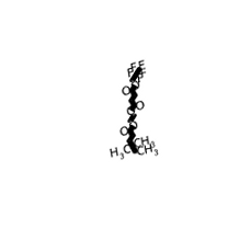 CCC(C)(C)CCC(=O)OCCOC(=O)CCC(=O)OCC(F)(F)C(F)(F)F